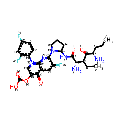 CCC[C@H](N)C(=O)C(CC)[C@H](N)C(=O)NC1CCCN1c1nc2c(cc1F)c(=O)c(OC(=O)O)cn2-c1ccc(F)cc1F